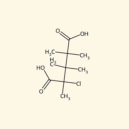 CC(C)(C(=O)O)C(C)(C)C(C)(Cl)C(=O)O